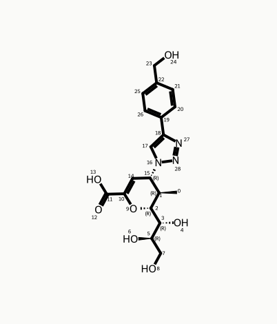 C[C@H]1[C@H]([C@H](O)[C@H](O)CO)OC(C(=O)O)=C[C@@H]1n1cc(-c2ccc(CO)cc2)nn1